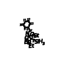 CCOC(C[SiH3])C(N=Cc1ccccc1)(OCC)OCC